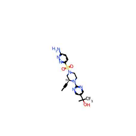 CC#C[C@H]1CN(S(=O)(=O)c2ccc(N)nn2)CCN1c1ncc(C(C)(O)C(F)(F)F)cn1